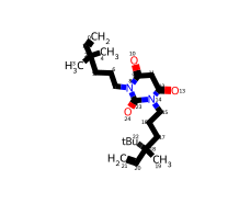 C=CC(C)(C)CCCN1C(=O)CC(=O)N(CCCC(C)(C=C)C(C)(C)C)C1=O